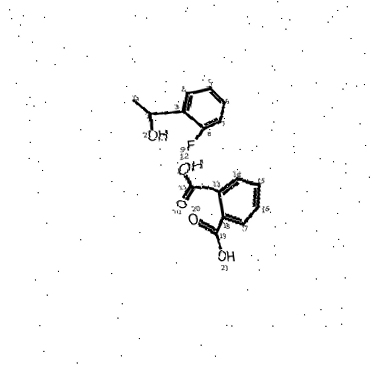 CC(O)c1ccccc1F.O=C(O)c1ccccc1C(=O)O